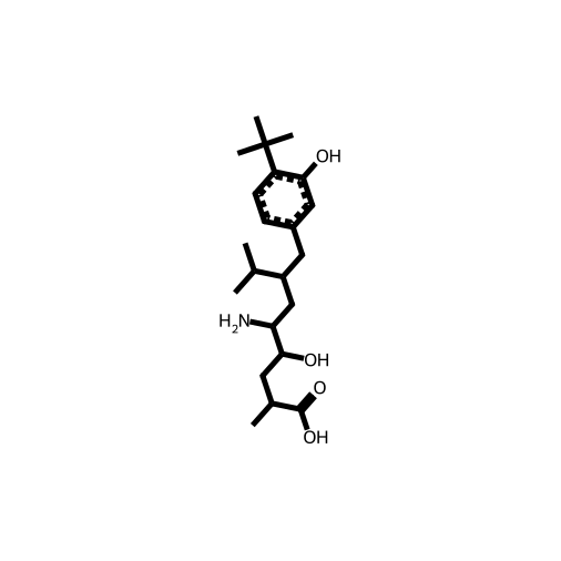 CC(CC(O)C(N)CC(Cc1ccc(C(C)(C)C)c(O)c1)C(C)C)C(=O)O